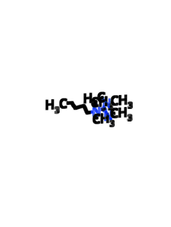 CCCCC[N+](C)(C)C(=NC)N(C)C